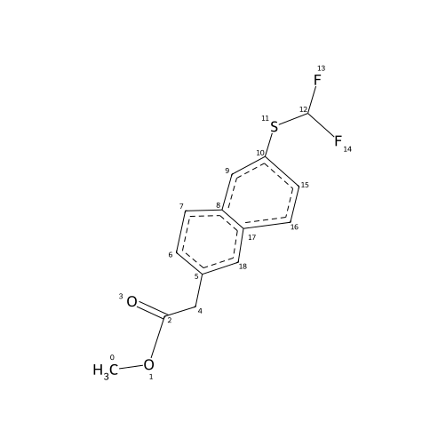 COC(=O)Cc1ccc2cc(SC(F)F)ccc2c1